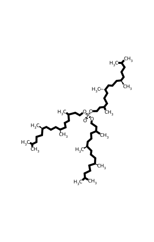 CC(C)CCC[C@@H](C)CCC[C@@H](C)CCCC(C)CCOP(=O)(OCCC(C)CCC[C@H](C)CCC[C@H](C)CCCC(C)C)OCCC(C)CCC[C@H](C)CCC[C@H](C)CCCC(C)C